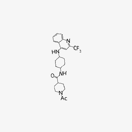 CC(=O)N1CCC(C(=O)NC2CCC(Nc3cc(C(F)(F)F)nc4ccccc34)CC2)CC1